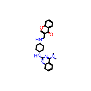 CN(C)c1nc(N[C@H]2CC[C@@H](NCc3coc4ccccc4c3=O)CC2)nc2ccccc12